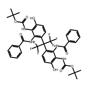 CC(C)(C)OC(=O)Nc1c(O)ccc(C(c2ccc(O)c(NC(=O)OC(C)(C)C)c2NC(=O)c2ccccc2)(C(F)(F)F)C(F)(F)F)c1NC(=O)c1ccccc1